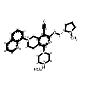 CN1CCC[C@H]1COc1nc(N2CCNCC2)c2c(c1C#N)CN(c1cccc3cccnc13)CC2.Cl